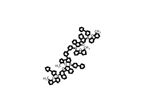 Cc1cccc2c1oc1c(N(c3cccc(-c4ccccc4)c3)c3cc4oc5cc(N(c6cccc(-c7cccc(-c8ccc(N(c9ccc(-c%10ccccc%10)cc9)c9cc%10oc%11cc(N(c%12ccc(-c%13ccccc%13)cc%12)c%12cccc%13c%12oc%12c(C)cccc%12%13)c%12ccccc%12c%11c%10c%10ccccc9%10)c9oc%10c(C)cccc%10c89)c7)c6)c6cccc7c6oc6c(C)cccc67)c6ccccc6c5c4c4ccccc34)cccc12